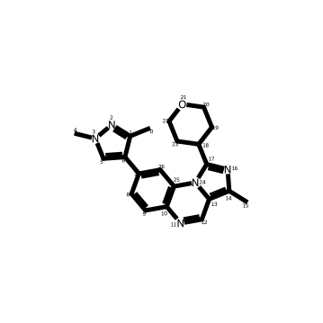 Cc1nn(C)cc1-c1ccc2ncc3c(C)nc(C4CCOCC4)n3c2c1